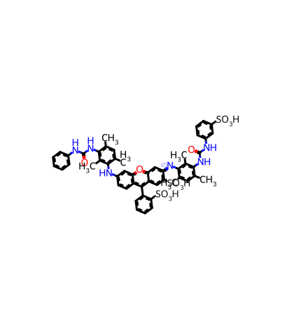 Cc1cc(C)c(NC(=O)Nc2cccc(S(=O)(=O)O)c2)c(C)c1/N=c1/cc2oc3cc(Nc4c(C)cc(C)c(NC(=O)Nc5ccccc5)c4C)ccc3c(-c3ccccc3S(=O)(=O)O)c-2cc1S(=O)(=O)O